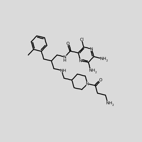 Cc1ccccc1CC(CNCC1CCN(C(=O)CCN)CC1)CNC(=O)c1nc(N)c(N)nc1Cl